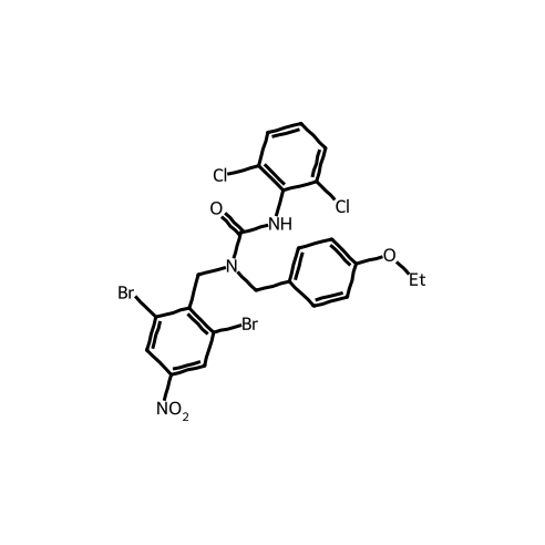 CCOc1ccc(CN(Cc2c(Br)cc([N+](=O)[O-])cc2Br)C(=O)Nc2c(Cl)cccc2Cl)cc1